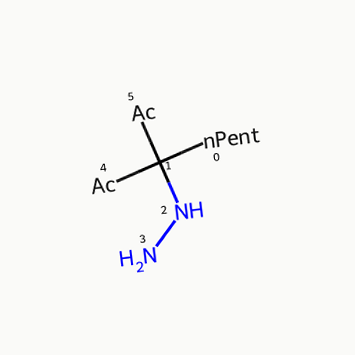 CCCCCC(NN)(C(C)=O)C(C)=O